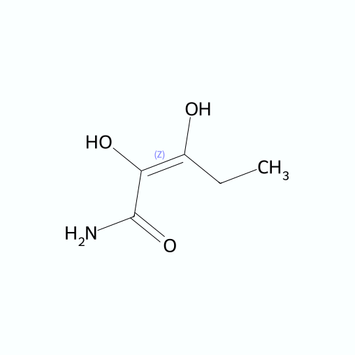 CC/C(O)=C(/O)C(N)=O